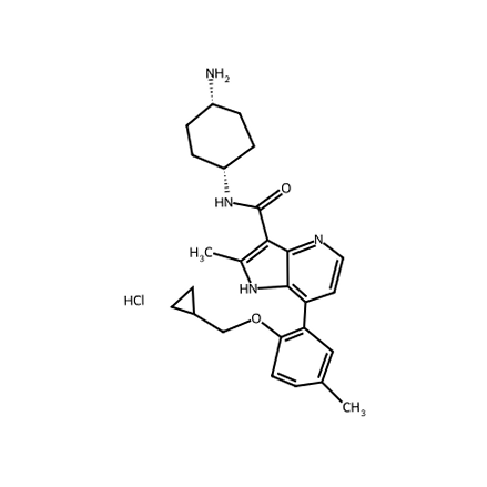 Cc1ccc(OCC2CC2)c(-c2ccnc3c(C(=O)N[C@H]4CC[C@@H](N)CC4)c(C)[nH]c23)c1.Cl